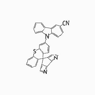 N#Cc1ccc2c(c1)c1ccccc1n2-c1ccc2c(c1)Sc1ccccc1C21c2cccnc2-c2ncccc21